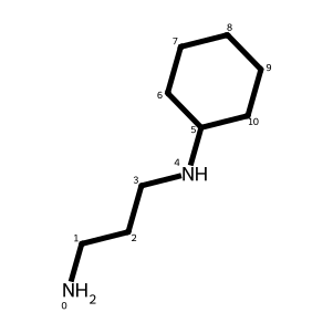 NCCCNC1CCCCC1